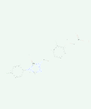 O=C(O)COc1ccc(SCn2ncn(-c3ccc(Br)cc3)c2=O)cc1Br